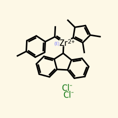 CC1=CC(C)[C](/[Zr+2](=[C](\C)c2ccc(C)cc2)[CH]2c3ccccc3-c3ccccc32)=C1C.[Cl-].[Cl-]